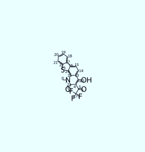 Cn1c(=O)c(C(=O)C(F)(F)F)c(O)c2ccc3c4ccccc4sc3c21